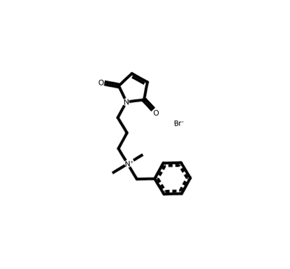 C[N+](C)(CCCN1C(=O)C=CC1=O)Cc1ccccc1.[Br-]